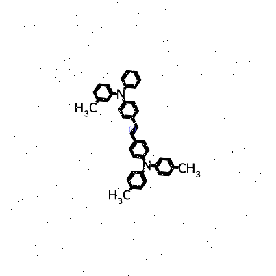 Cc1ccc(N(c2ccc(C)cc2)c2ccc(/C=C/c3ccc(N(c4ccccc4)c4cccc(C)c4)cc3)cc2)cc1